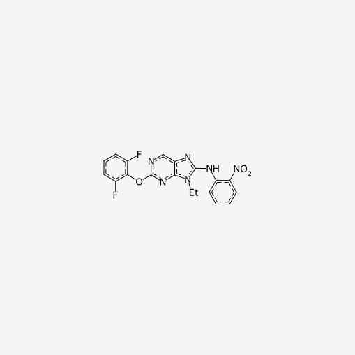 CCn1c(Nc2ccccc2[N+](=O)[O-])nc2cnc(Oc3c(F)cccc3F)nc21